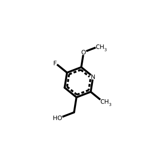 COc1nc(C)c(CO)cc1F